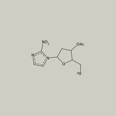 CC(=O)OC1CC(n2ccnc2[N+](=O)[O-])OC1C[18F]